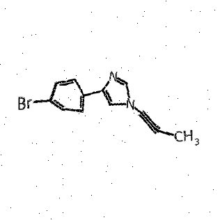 CC#Cn1cnc(-c2ccc(Br)cc2)c1